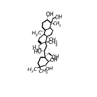 CC1=CCC2[C@@]3(C)CC[C@H](O)[C@](C)(CO)C3CC[C@@]2(C)[C@]1(C)C[C@@H](O)[C@]1(CO)CCC(C)(C)[C@@H](O)[C@@H]1O